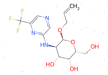 C=CCO[C@H]1O[C@H](CO)[C@H](O)[C@H](O)[C@H]1Nc1cncc(C(F)(F)F)n1